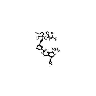 CN1CC[C@](C#Cc2cccc(-c3ncc4c(C#N)cnc(N)c4n3)c2)(OC(=O)C(F)(F)F)C1=O